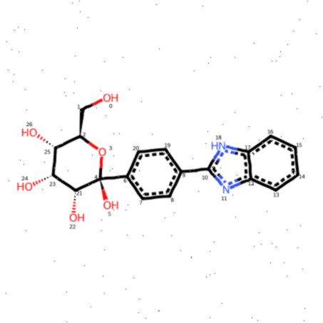 OC[C@H]1O[C@](O)(c2ccc(-c3nc4ccccc4[nH]3)cc2)[C@H](O)[C@H](O)[C@@H]1O